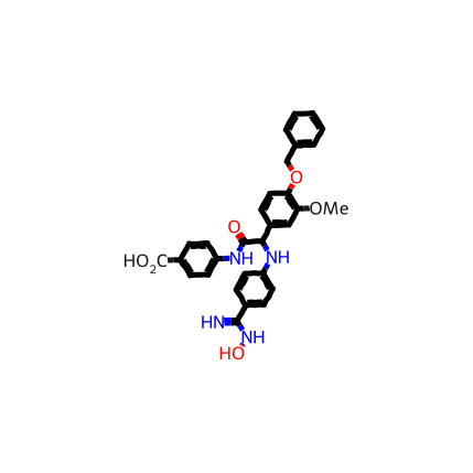 COc1cc(C(Nc2ccc(C(=N)NO)cc2)C(=O)Nc2ccc(C(=O)O)cc2)ccc1OCc1ccccc1